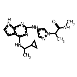 CNC(=O)C(C)n1cc(Nc2nc(NC(C)C3CC3)c3cc[nH]c3n2)cn1